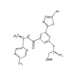 COC[C@H](C)Oc1cc(C(=O)N[C@H](C)c2cnc(C)cn2)cc(-c2ncc(C(C)C)s2)c1